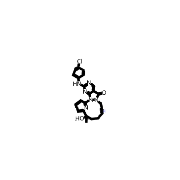 CC1(O)CC/C=C\Cn2c(=O)c3cnc(Nc4ccc(Cl)cc4)nc3n2-c2cccc1n2